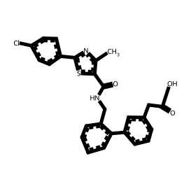 Cc1nc(-c2ccc(Cl)cc2)sc1C(=O)NCc1ccccc1-c1cccc(CC(=O)O)c1